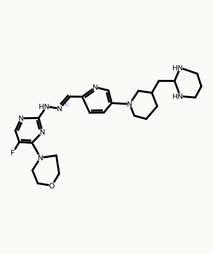 Fc1cnc(N/N=C/c2ccc(N3CCCC(CC4NCCCN4)C3)cn2)nc1N1CCOCC1